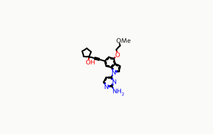 COCCOc1cc(C#CC2(O)CCCC2)cc2c1ccn2-c1ccnc(N)n1